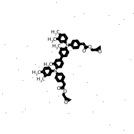 Cc1ccc(N(c2ccc(CC(=O)OCC3CO3)cc2)c2ccc(-c3ccc(N(c4ccc(CC(=O)OCC5CO5)cc4)c4ccc(C)c(C)c4)c(C)c3)cc2C)cc1C